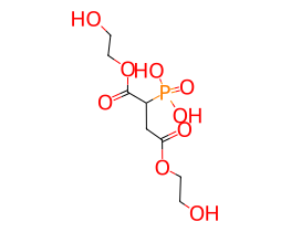 O=C(CC(C(=O)OCCO)P(=O)(O)O)OCCO